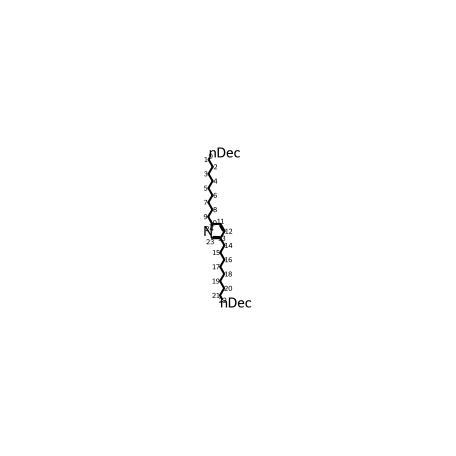 CCCCCCCCCCCCCCCCCCCc1ccc(CCCCCCCCCCCCCCCCCC)cn1